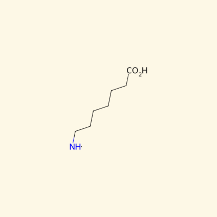 [NH]CCCCCCC(=O)O